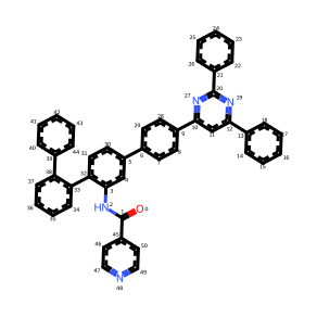 O=C(Nc1cc(-c2ccc(-c3cc(-c4ccccc4)nc(-c4ccccc4)n3)cc2)ccc1-c1ccccc1-c1ccccc1)c1ccncc1